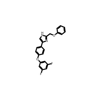 Fc1cc(F)cc(Oc2ccc(-c3c[nH]c(COc4ccccc4)n3)cc2)c1